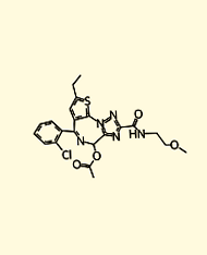 CCc1cc2c(s1)-n1nc(C(=O)NCCOC)nc1C(OC(C)=O)N=C2c1ccccc1Cl